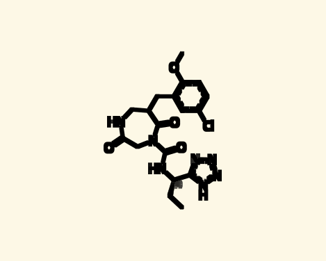 CC[C@@H](NC(=O)N1CC(=O)NCC(Cc2cc(Cl)ccc2OC)C1=O)c1nnn[nH]1